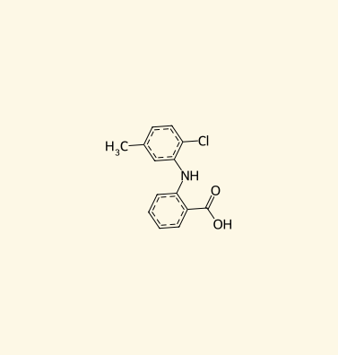 Cc1ccc(Cl)c(Nc2ccccc2C(=O)O)c1